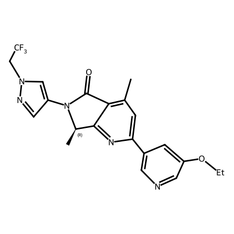 CCOc1cncc(-c2cc(C)c3c(n2)[C@@H](C)N(c2cnn(CC(F)(F)F)c2)C3=O)c1